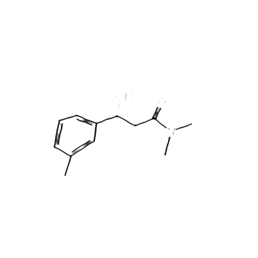 Cc1cccc([C@H](O)CC(=O)N(C)C)c1